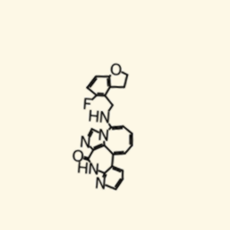 O=c1[nH]c2ncccc2c2ccccc(NCc3c(F)ccc4c3CCO4)n3cnc1c3-2